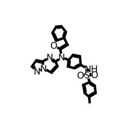 Cc1ccc(S(=O)(=O)Nc2ccc(N(c3ccn4nccc4n3)c3cc4ccccc4o3)cc2)cc1